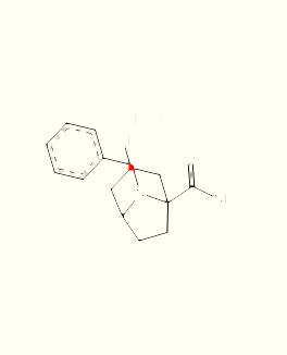 NC(=O)C12CCC(CC(Cl)C1)N2Cc1ccccc1.O